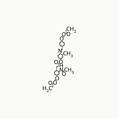 C=CC(=O)OCOc1ccc(/C=N/c2ccc(OC(=O)/C=C/c3ccc(OCOC(=O)C=C)cc3NC(C)=O)cc2C)cc1